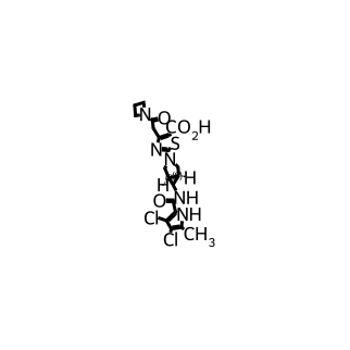 Cc1[nH]c(C(=O)NC2[C@H]3CN(c4nc(CC(=O)N5CCC5)c(C(=O)O)s4)C[C@@H]23)c(Cl)c1Cl